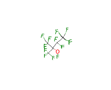 FOC(C(F)(F)F)(C(F)(F)F)C(F)(F)C(F)(F)F